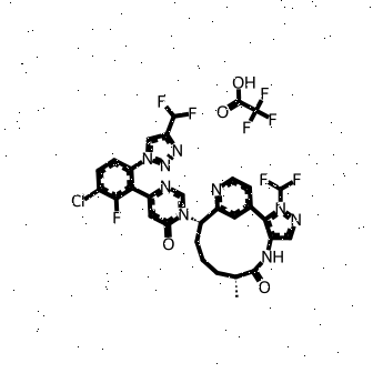 C[C@@H]1CCC[C@H](n2cnc(-c3c(-n4cc(C(F)F)nn4)ccc(Cl)c3F)cc2=O)c2cc(ccn2)-c2c(cnn2C(F)F)NC1=O.O=C(O)C(F)(F)F